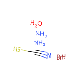 Br.N.N.N#CS.O